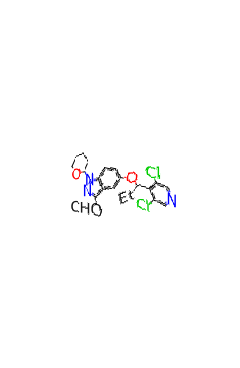 CCC(Oc1ccc2c(c1)c(C=O)nn2C1CCCCO1)c1c(Cl)cncc1Cl